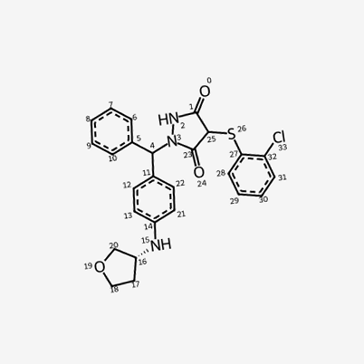 O=C1NN(C(c2ccccc2)c2ccc(N[C@@H]3CCOC3)cc2)C(=O)C1Sc1ccccc1Cl